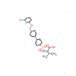 CC(C)[C@@H](NS(=O)(=O)c1ccc(-c2ccc(COc3cccc(Cl)n3)cc2)cc1)C(=O)O